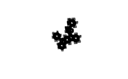 c1ccc(-n2c3ccccc3c3cc4c5ccccc5n(-c5cnc(-c6ccccn6)o5)c4cc32)cc1